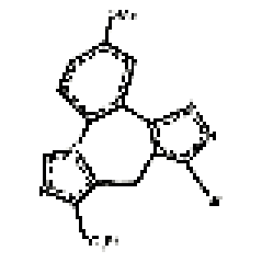 CCOC(=O)c1ncn2c1Cc1c(Br)nnn1-c1cc(OC)ccc1-2